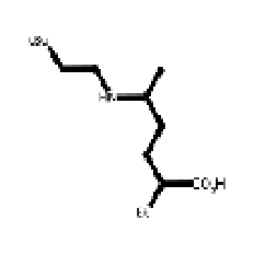 CCC(CCC(C)NCCC(C)(C)C)C(=O)O